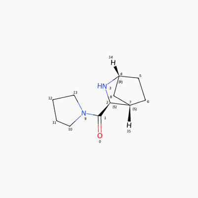 O=C([C@H]1N[C@@H]2CC[C@H]1C2)N1CCCC1